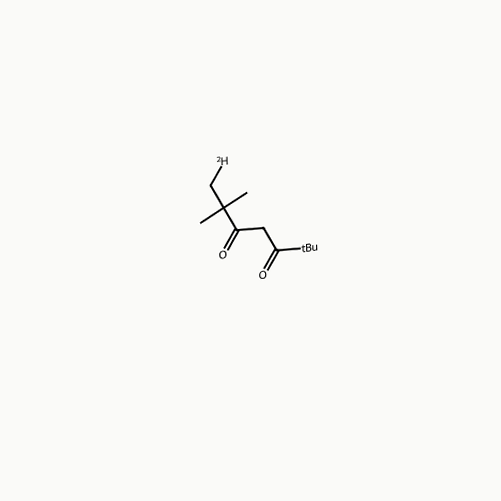 [2H]CC(C)(C)C(=O)CC(=O)C(C)(C)C